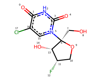 O=c1[nH]c(=O)n([C@@]2(CO)OC[C@H](F)[C@@H]2O)cc1Cl